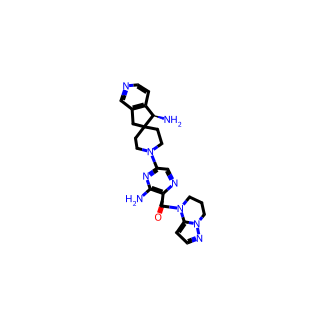 Nc1nc(N2CCC3(CC2)Cc2cnccc2[C@H]3N)cnc1C(=O)N1CCCn2nccc21